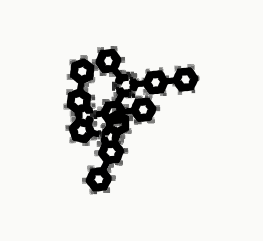 c1ccc(-c2ccc(-c3nc(-c4ccccc4)nc(-c4cc(-n5c6cc(-c7ccccc7)ccc6c6cccc(-n7c8ccccc8c8ccc(-c9ccccc9)cc87)c65)ccc4-c4ccccc4)n3)cc2)cc1